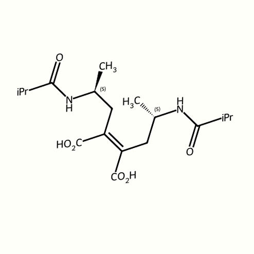 CC(C)C(=O)N[C@@H](C)CC(C(=O)O)=C(C[C@H](C)NC(=O)C(C)C)C(=O)O